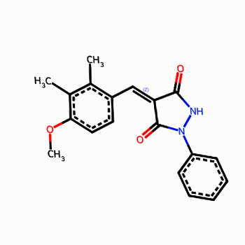 COc1ccc(/C=C2/C(=O)NN(c3ccccc3)C2=O)c(C)c1C